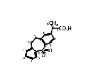 CC(C(=O)O)c1ccc2c(c1)CCc1ccccc1S2(=O)=O